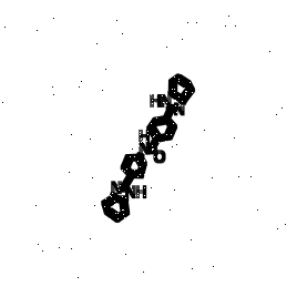 O=C(Nc1ccc(-c2nc3ccccc3[nH]2)cc1)c1ccc(-c2nc3ccccc3[nH]2)cc1